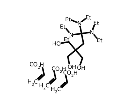 C=CC(=O)O.C=CC(=O)O.C=CC(=O)O.CCN(CC)C(CC(CO)(CO)CO)(N(CC)CC)N(CC)CC